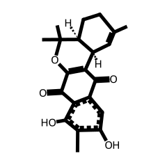 CC1=C[C@H]2C3=C(OC(C)(C)[C@H]2CC1)C(=O)c1c(cc(O)c(C)c1O)C3=O